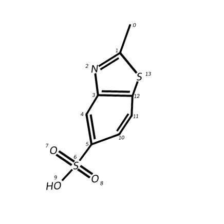 Cc1nc2cc(S(=O)(=O)O)ccc2s1